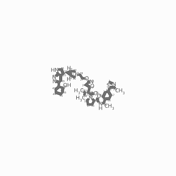 Cc1ncsc1-c1ccc([C@H](C)NC(=O)[C@@H]2CCCN2C(=O)[C@@H](c2cc(OCCN3C[C@@H]4[C@H](C3)[C@H]4c3c[nH]c4nnc(-c5ccccc5O)cc34)no2)C(C)C)cc1